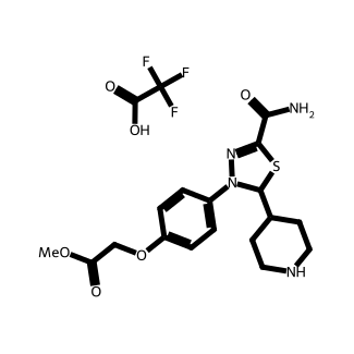 COC(=O)COc1ccc(N2N=C(C(N)=O)SC2C2CCNCC2)cc1.O=C(O)C(F)(F)F